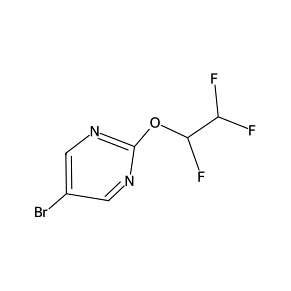 FC(F)C(F)Oc1ncc(Br)cn1